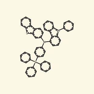 c1ccc(-n2c3ccccc3c3c(N(c4ccc([Si](c5ccccc5)(c5ccccc5)c5ccccc5)cc4)c4ccc5c(c4)sc4ccccc45)cccc32)cc1